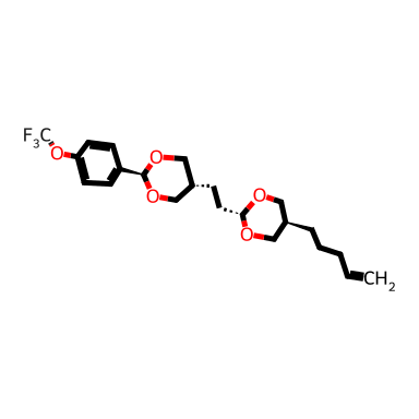 C=CCCC[C@H]1CO[C@H](CC[C@H]2CO[C@H](c3ccc(OC(F)(F)F)cc3)OC2)OC1